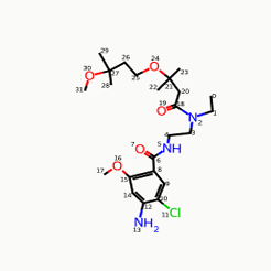 CCN(CCNC(=O)c1cc(Cl)c(N)cc1OC)C(=O)CC(C)(C)OCCC(C)(C)OC